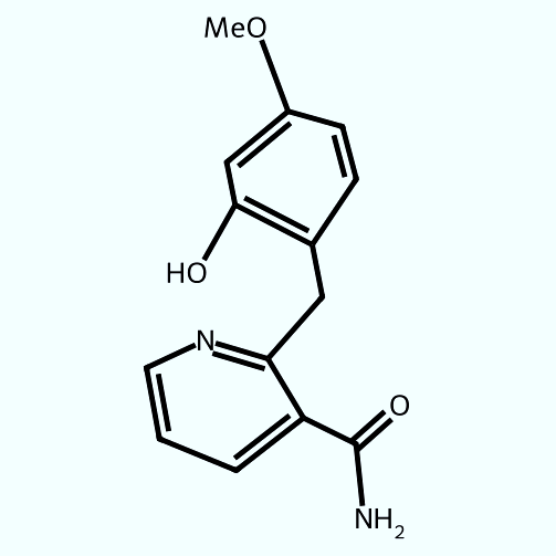 COc1ccc(Cc2ncccc2C(N)=O)c(O)c1